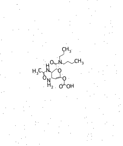 CCCCN(CCC)C(=O)[C@@H]1OC(OC(=O)O)=C[C@H](N)[C@H]1NC(C)=O